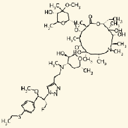 CCSc1ccc([C@@H](OC)[C@@H](CF)n2cc(CCN(C)[C@H]3C[C@@H](C)O[C@@H](O[C@@H]4[C@@H](C)[C@H](OC[C@H]5C[C@@](C)(OC)[C@@H](O)[C@H](C)O5)[C@@H](C)C(=O)O[C@H](CC)[C@@](C)(O)[C@H](O)[C@@H](C)N(C)C[C@H](C)C[C@@]4(C)O)[C@@H]3O)nn2)cc1